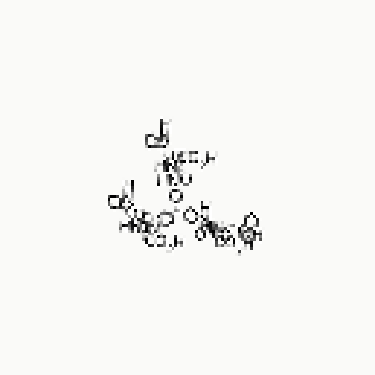 O=C(O)C[C@H](NC(=O)Cc1c[nH]c2ccccc12)C(=O)Nc1ccc(C(c2ccc(NC(=O)[C@H](CC(=O)O)NC(=O)Cc3c[nH]c4ccccc34)cc2)c2ccc(NC(=O)[C@H](CC(=O)O)NC(=O)Cc3c[nH]c4ccccc34)cc2)cc1